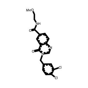 COCCNC(=O)c1ccc2ncn(Cc3ccc(Cl)c(Cl)c3)c(=O)c2c1